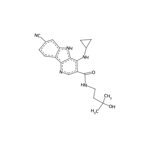 CC(C)(O)CCNC(=O)c1cnc2c([nH]c3cc(C#N)ccc32)c1NC1CC1